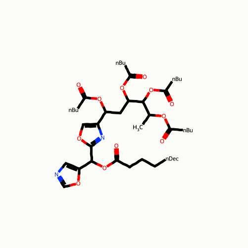 CCCCCCCCCCCCCC(=O)OC(c1cnco1)c1nc(C(CC(OC(=O)CCCC)C(OC(=O)CCCC)C(C)OC(=O)CCCC)OC(=O)CCCC)co1